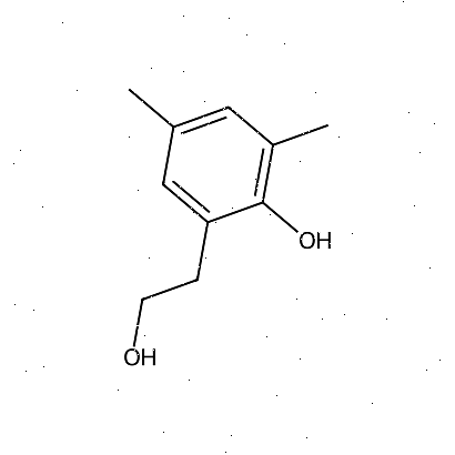 Cc1cc(C)c(O)c(CCO)c1